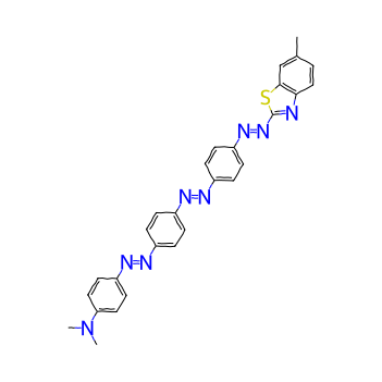 Cc1ccc2nc(N=Nc3ccc(N=Nc4ccc(N=Nc5ccc(N(C)C)cc5)cc4)cc3)sc2c1